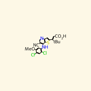 COc1cc(Nc2c(C#N)cnc3cc(/C(=C/C(=O)O)C(C)(C)C)sc23)c(Cl)cc1Cl